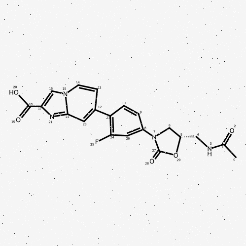 CC(=O)NC[C@H]1CN(c2ccc(-c3ccn4cc(C(=O)O)nc4c3)c(F)c2)C(=O)O1